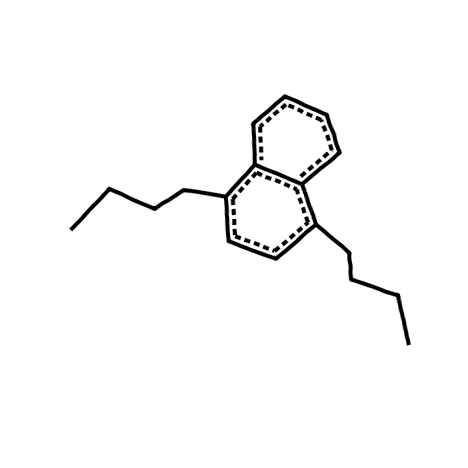 CCCCc1ccc(CCCC)c2ccccc12